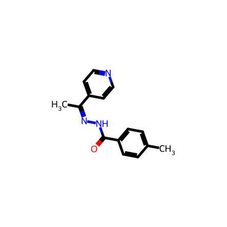 CC(=NNC(=O)c1ccc(C)cc1)c1ccncc1